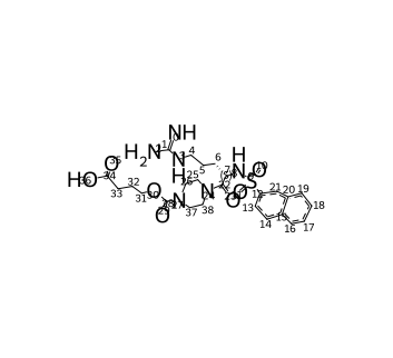 N=C(N)NCCC[C@H](NS(=O)(=O)c1ccc2ccccc2c1)C(=O)N1CCN(C(=O)OCCCC(=O)O)CC1